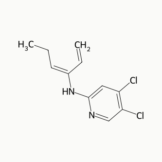 C=C/C(=C\CC)Nc1cc(Cl)c(Cl)cn1